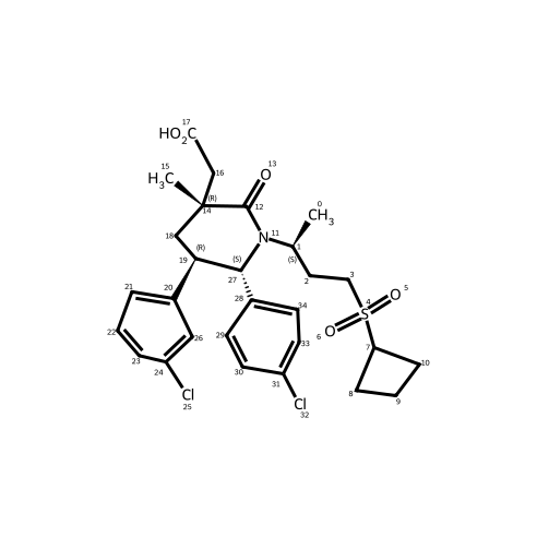 C[C@@H](CCS(=O)(=O)C1CCC1)N1C(=O)[C@@](C)(CC(=O)O)C[C@H](c2cccc(Cl)c2)[C@H]1c1ccc(Cl)cc1